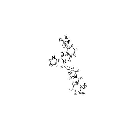 O=C(c1cscn1)N(Cc1cccc(OC(F)(F)F)c1)CC1C2CN(Cc3cccc(F)c3F)CC21